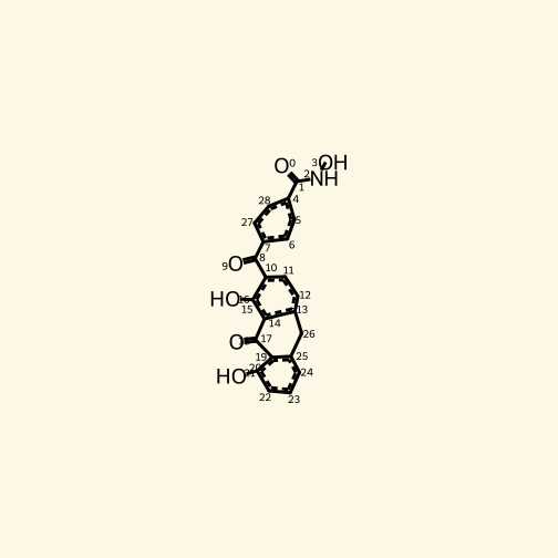 O=C(NO)c1ccc(C(=O)c2ccc3c(c2O)C(=O)c2c(O)cccc2C3)cc1